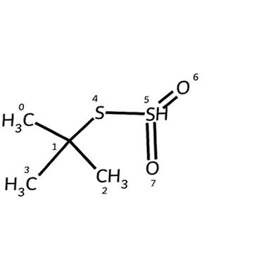 CC(C)(C)S[SH](=O)=O